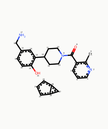 CCc1ncccc1C(=O)N1CCC(c2cc(CN)ccc2O)CC1.c1cc2cc-2c1